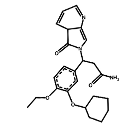 CCOc1ccc(C(CC(N)=O)N2C=C3N=CC=CC3C2=O)cc1OC1CCCCC1